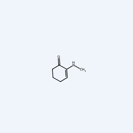 CNC1=CCCCC1=O